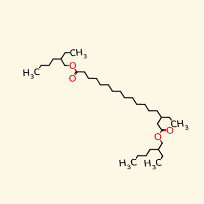 CCCCC(CC)COC(=O)CCCCCCCCCCCCCC(CC)CC(=O)OCC(CC)CCCC